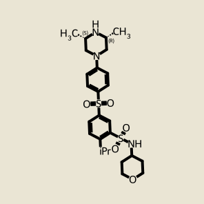 CC(C)c1ccc(S(=O)(=O)c2ccc(N3C[C@@H](C)N[C@@H](C)C3)cc2)cc1S(=O)(=O)NC1CCOCC1